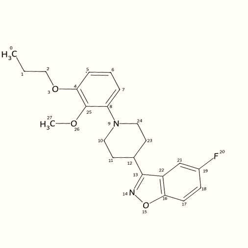 CCCOc1[c]ccc(N2CCC(c3noc4ccc(F)cc34)CC2)c1OC